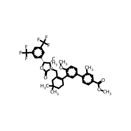 COC(=O)c1ccc(-c2ccc(OC)c(C3=C(CN4C(=O)O[C@H](c5cc(C(F)(F)F)cc(C(F)(F)F)c5)[C@@H]4C)CC(C)(C)CC3)c2)c(C)c1